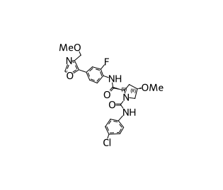 COCc1ncoc1-c1ccc(NC(=O)[C@H]2C[C@@H](OC)CN2C(=O)Nc2ccc(Cl)cc2)c(F)c1